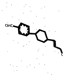 CC(=O)OCC=CC1CCC(c2ccc(C=O)cc2)CC1